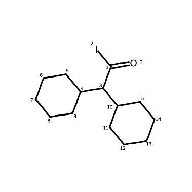 O=C(I)C(C1CCCCC1)C1CCCCC1